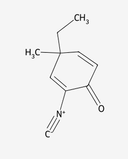 [C-]#[N+]C1=CC(C)(CC)C=CC1=O